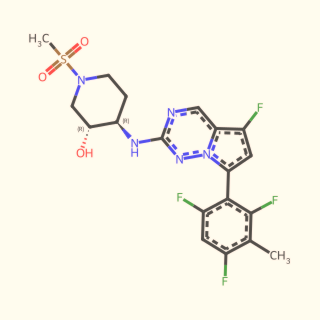 Cc1c(F)cc(F)c(-c2cc(F)c3cnc(N[C@@H]4CCN(S(C)(=O)=O)C[C@H]4O)nn23)c1F